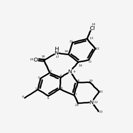 Cc1cc2c3c(c1)c1c(n3-c3ccc(Cl)cc3NC2=O)CCN(C)C1